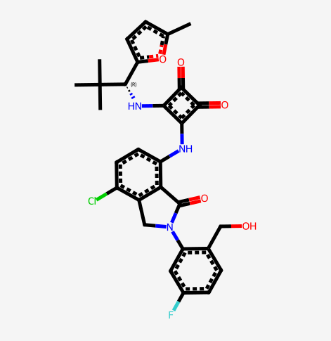 Cc1ccc([C@H](Nc2c(Nc3ccc(Cl)c4c3C(=O)N(c3cc(F)ccc3CO)C4)c(=O)c2=O)C(C)(C)C)o1